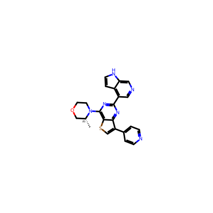 C[C@@H]1COCCN1c1nc(-c2cncc3[nH]ccc23)nc2c(-c3ccncc3)csc12